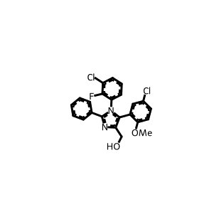 COc1ccc(Cl)cc1-c1c(CO)nc(-c2ccccc2)n1-c1cccc(Cl)c1F